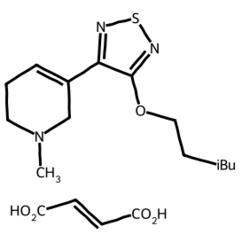 CCC(C)CCOc1nsnc1C1=CCCN(C)C1.O=C(O)C=CC(=O)O